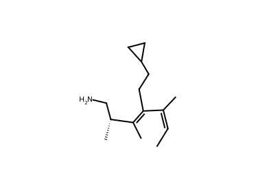 C/C=C(C)\C(CCC1CC1)=C(/C)[C@H](C)CN